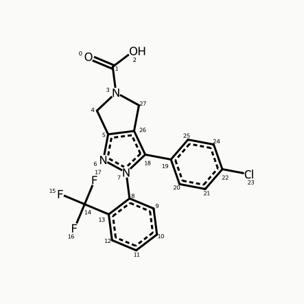 O=C(O)N1Cc2nn(-c3ccccc3C(F)(F)F)c(-c3ccc(Cl)cc3)c2C1